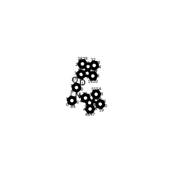 c1ccc(N(c2ccc3c(c2)Oc2c(ccc4c2-c2ccccc2C42c4ccccc4-c4ccccc42)O3)c2ccc3c(c2)-c2ccccc2C3(c2ccccc2)c2ccccc2)cc1